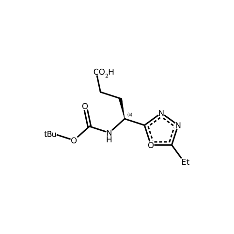 CCc1nnc([C@H](CCC(=O)O)NC(=O)OC(C)(C)C)o1